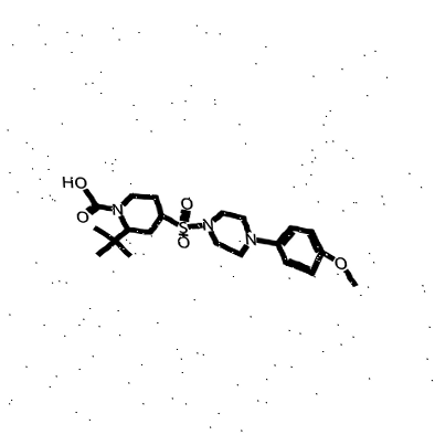 COc1ccc(N2CCN(S(=O)(=O)C3CCN(C(=O)O)C(C(C)(C)C)C3)CC2)cc1